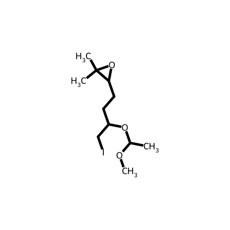 COC(C)OC(CI)CCC1OC1(C)C